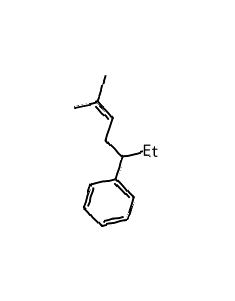 CCC(CC=C(C)C)c1ccccc1